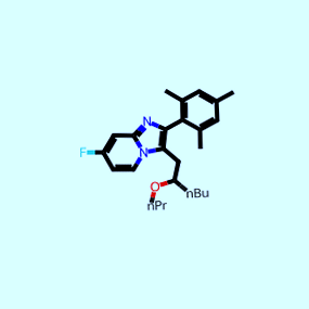 CCCCC(Cc1c(-c2c(C)cc(C)cc2C)nc2cc(F)ccn12)OCCC